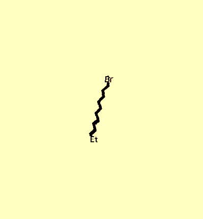 CCC=CC=CCCCCCCBr